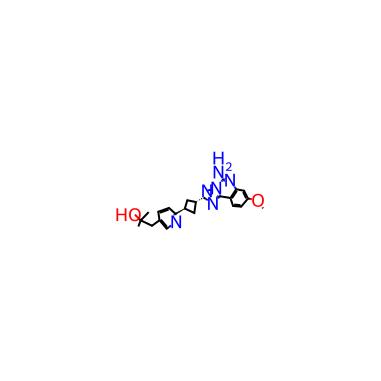 COc1ccc2c(c1)nc(N)n1nc([C@H]3C[C@H](c4ccc(CC(C)(C)O)cn4)C3)nc21